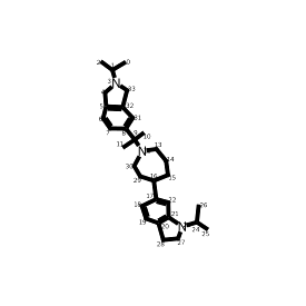 CC(C)N1Cc2ccc(C(C)(C)N3CCCC(c4ccc5c(c4)N(C(C)C)CC5)CC3)cc2C1